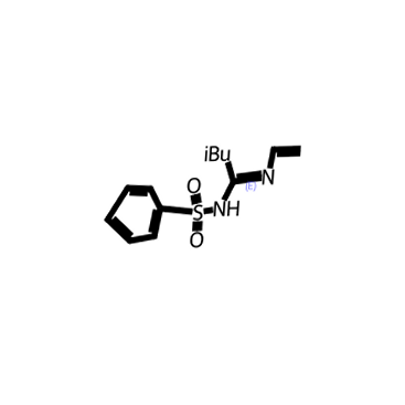 C=C/N=C(/NS(=O)(=O)c1ccccc1)C(C)CC